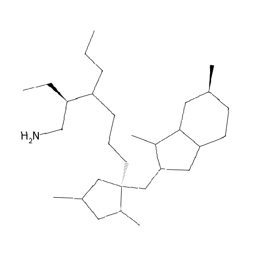 CCCC(CCC[C@@]1(CC2CC3CC[C@H](C)CC3C2C)CC(C)CC1C)[C@H](CC)CN